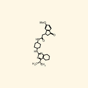 COc1ccc2c(c1)C(CC(=O)NC1CCC(Nc3nc4c(c(N(C)C)n3)CCCC4)CC1)CC2=O